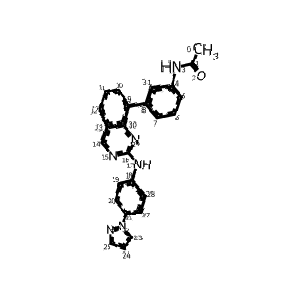 CC(=O)Nc1cccc(-c2cccc3cnc(Nc4ccc(-n5cccn5)cc4)nc23)c1